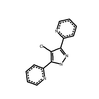 ClC1=C(c2ccccn2)[N]N=C1c1ccccn1